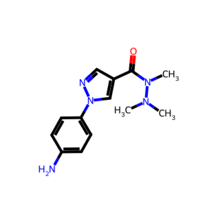 CN(C)N(C)C(=O)c1cnn(-c2ccc(N)cc2)c1